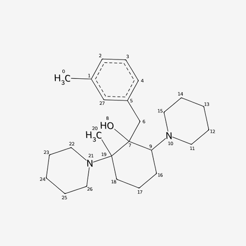 Cc1cccc(CC2(O)C(N3CCCCC3)CCCC2(C)N2CCCCC2)c1